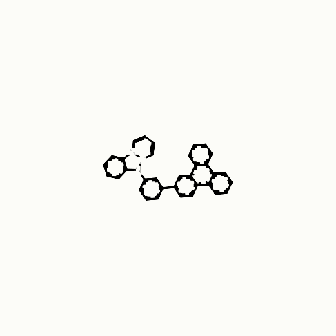 C1=CB2N(C=C1)c1ccccc1N2c1cccc(-c2ccc3c4ccccc4c4ccccc4c3c2)c1